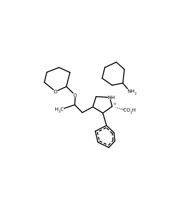 CC(CC1CN[C@H](C(=O)O)C1c1ccccc1)OC1CCCCO1.NC1CCCCC1